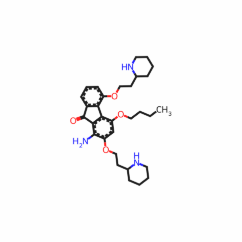 CCCCOc1cc(OCCC2CCCCN2)c(N)c2c1-c1c(OCCC3CCCCN3)cccc1C2=O